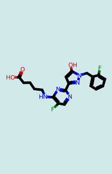 O=C(O)CCCCNc1nc(-c2cc(O)n(Cc3ccccc3F)n2)ncc1F